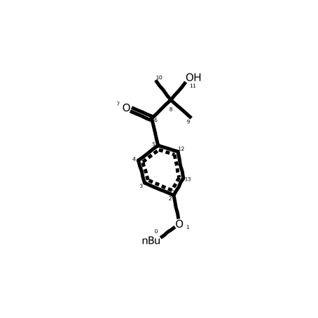 CCCCOc1ccc(C(=O)C(C)(C)O)cc1